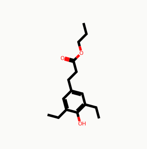 CCCOC(=O)CCc1cc(CC)c(O)c(CC)c1